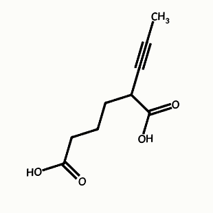 CC#CC(CCCC(=O)O)C(=O)O